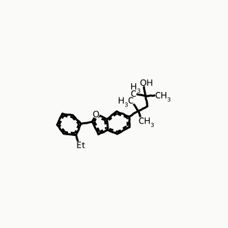 CCc1ccccc1-c1cc2ccc(C(C)(C)CC(C)(C)O)cc2o1